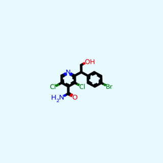 NC(=O)c1c(Cl)cnc(C(CO)c2ccc(Br)cc2)c1Cl